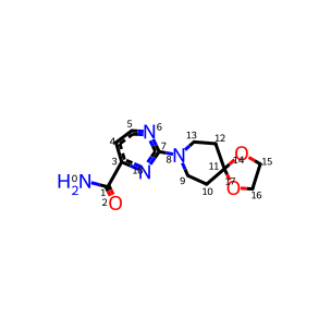 NC(=O)c1ccnc(N2CCC3(CC2)OCCO3)n1